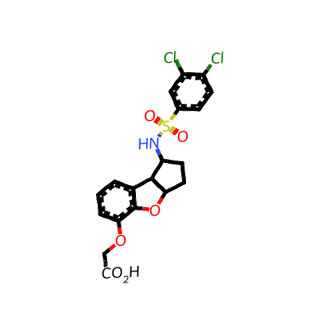 O=C(O)COc1cccc2c1OC1CCC(NS(=O)(=O)c3ccc(Cl)c(Cl)c3)C21